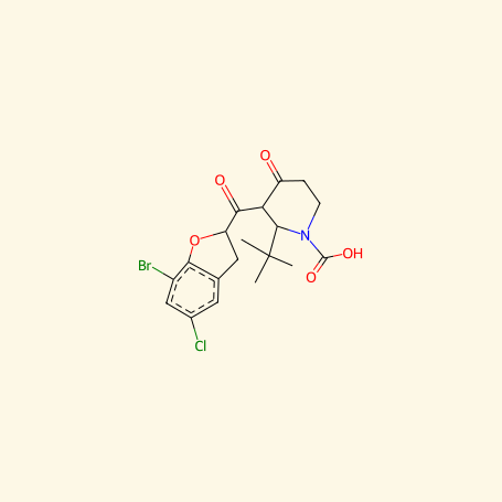 CC(C)(C)C1C(C(=O)C2Cc3cc(Cl)cc(Br)c3O2)C(=O)CCN1C(=O)O